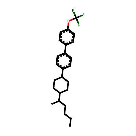 CCCCC(C)C1CCC(c2ccc(-c3ccc(OC(F)(F)F)cc3)cc2)CC1